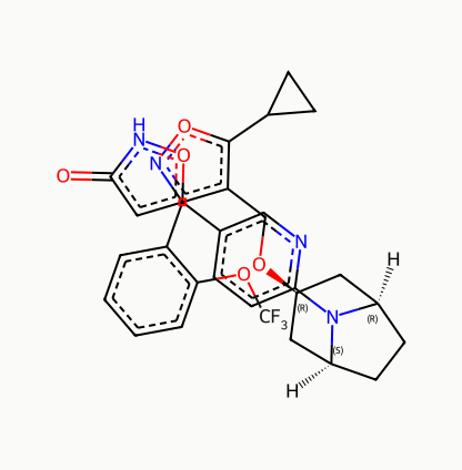 O=c1cc(-c2ccc(N3[C@@H]4CC[C@H]3C[C@@H](OCc3c(-c5ccccc5OC(F)(F)F)noc3C3CC3)C4)nc2)o[nH]1